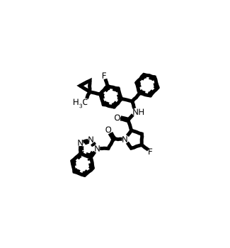 CC1(c2ccc(C(NC(=O)C3CC(F)CN3C(=O)Cn3nnc4ccccc43)c3ccccc3)cc2F)CC1